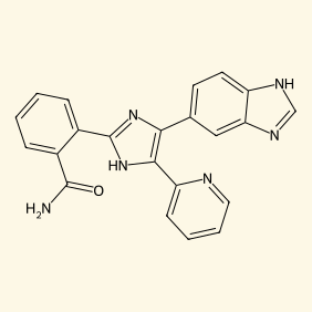 NC(=O)c1ccccc1-c1nc(-c2ccc3[nH]cnc3c2)c(-c2ccccn2)[nH]1